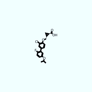 CC(C)Oc1ccc(F)c(-c2ccc(OC[C@@H]3C[C@H]3C(=O)O)c(Cl)c2)c1